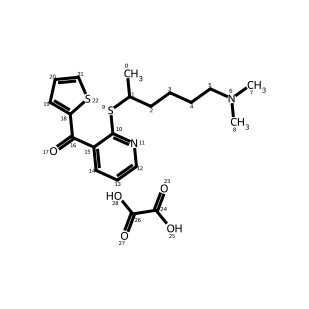 CC(CCCCN(C)C)Sc1ncccc1C(=O)c1cccs1.O=C(O)C(=O)O